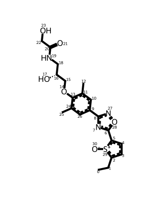 CCc1ccc(-c2nc(-c3cc(C)c(OC[C@H](O)CNC(=O)CO)c(C)c3)no2)[s+]1[O-]